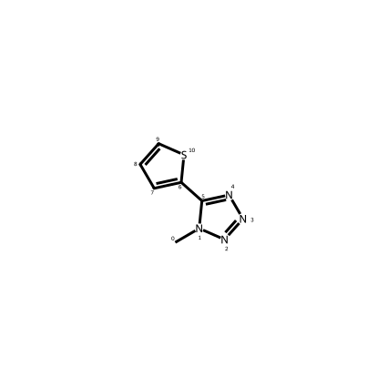 Cn1nnnc1-c1cc[c]s1